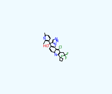 Cc1ccc(C(O)(c2ccc3nc(C4CCC4)c(CC(F)(F)F)c(Cl)c3c2)c2cnnn2C)c(C)n1